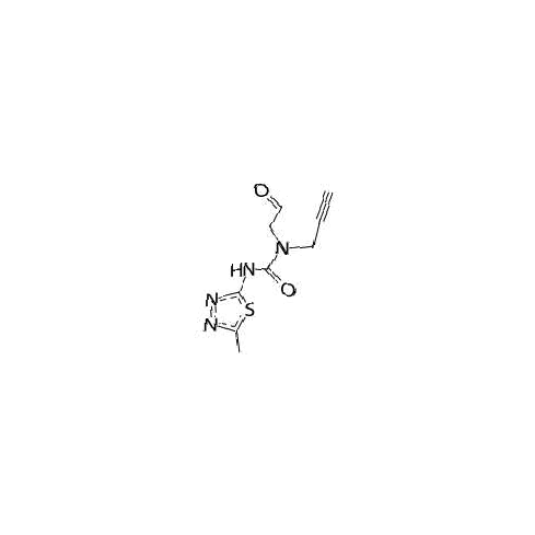 C#CCN(CC=O)C(=O)Nc1nnc(C)s1